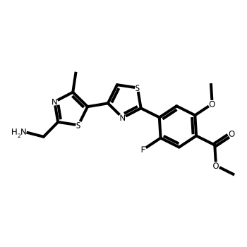 COC(=O)c1cc(F)c(-c2nc(-c3sc(CN)nc3C)cs2)cc1OC